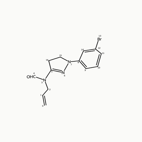 C=CCN(C=O)C1=NN(c2cccc(Br)c2)CC1